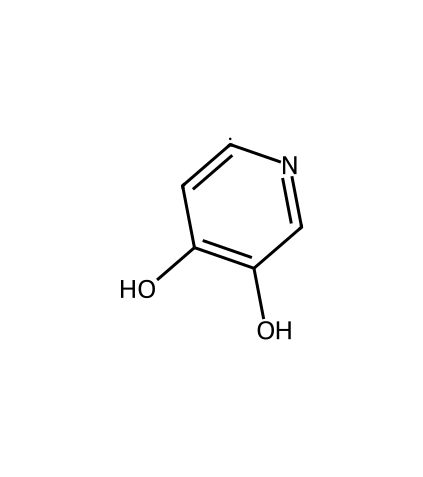 Oc1c[c]ncc1O